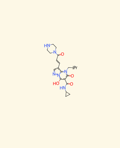 CC(C)Cn1c(=O)c(C(=O)NC2CC2)c(O)n2ncc(C=CC(=O)N3CCNCC3)c12